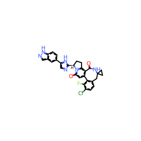 O=C1NC2(CC2)Cc2ccc(Cl)c(F)c2-c2cc(=O)n3c(c21)CC[C@@H]3c1ncc(-c2ccc3[nH]ncc3c2)[nH]1